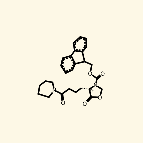 O=C1OCN(C(=O)OCC2c3ccccc3-c3ccccc32)[C@H]1CCCC(=O)N1CCCCC1